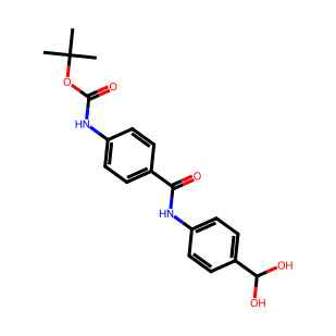 CC(C)(C)OC(=O)Nc1ccc(C(=O)Nc2ccc(C(O)O)cc2)cc1